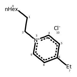 CCCCCCCC[n+]1ccc(CC)cc1.[Cl-]